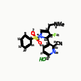 CNCc1cn(S(=O)(=O)c2ccccc2)c(-c2cccnc2C#N)c1F.Cl